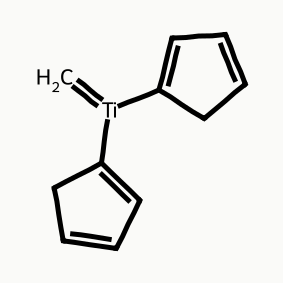 [CH2]=[Ti]([C]1=CC=CC1)[C]1=CC=CC1